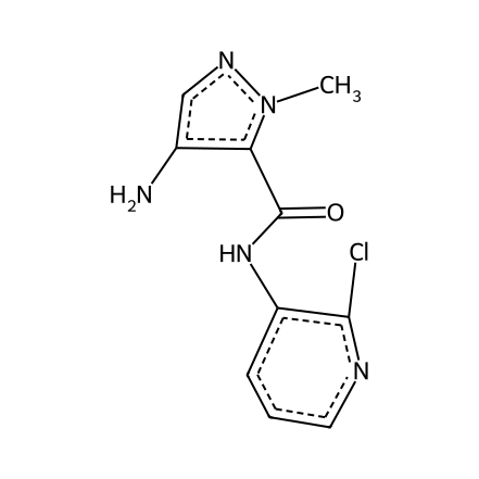 Cn1ncc(N)c1C(=O)Nc1cccnc1Cl